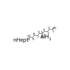 C=CCCCCCCCCCCCCCCCC.[AlH3]